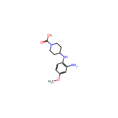 COc1ccc(NC2CCN(C(=O)O)CC2)c(N)c1